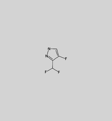 FC1=C[N]N=C1C(F)F